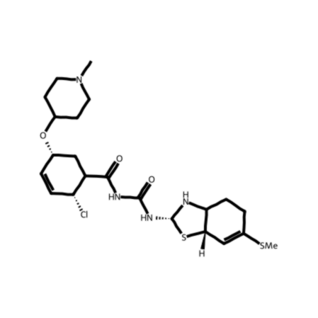 CSC1=C[C@@H]2S[C@H](NC(=O)NC(=O)C3C[C@@H](OC4CCN(C)CC4)C=C[C@H]3Cl)NC2CC1